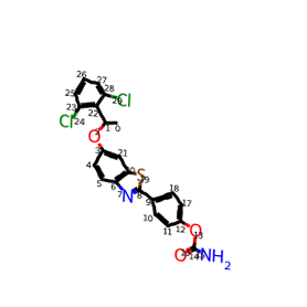 CC(Oc1ccc2nc(-c3ccc(OC(N)=O)cc3)sc2c1)c1c(Cl)cccc1Cl